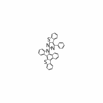 c1ccc(-c2nc(-n3c4ccccc4c4c5sc6ccccc6c5c5ccccc5c43)nc3sc4ccccc4c23)cc1